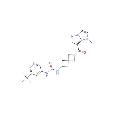 Cn1ccn2ncc(C(=O)N3CC4(CC(NC(=O)Nc5cncc(C(C)(F)F)c5)C4)C3)c12